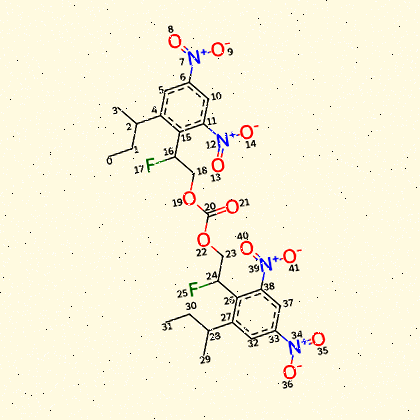 CCC(C)c1cc([N+](=O)[O-])cc([N+](=O)[O-])c1C(F)COC(=O)OCC(F)c1c(C(C)CC)cc([N+](=O)[O-])cc1[N+](=O)[O-]